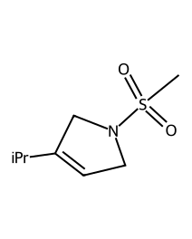 CC(C)C1=CCN(S(C)(=O)=O)C1